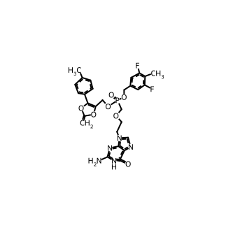 C=C1OC(COP(=O)(COCCn2cnc3c(=O)[nH]c(N)nc32)OCc2cc(F)c(C)c(F)c2)=C(c2ccc(C)cc2)O1